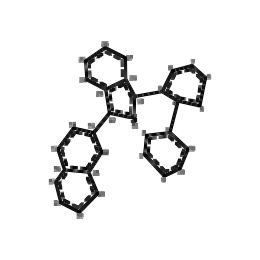 c1ccc(-c2ccccc2-c2sc(-c3ccc4ccccc4c3)c3ccccc23)cc1